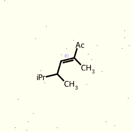 CC(=O)/C(C)=C/C(C)C(C)C